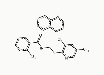 O=C(NCCc1ncc(C(F)(F)F)cc1Cl)c1ccccc1C(F)(F)F.c1ccc2ncccc2c1